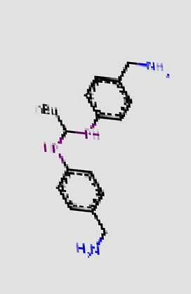 CCCCC(Pc1ccc(CN)cc1)Pc1ccc(CN)cc1